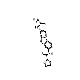 NC(=S)Nc1ccc2c(c1)Cc1cc(NC(=O)c3ccno3)ccc1-2